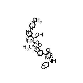 CC(C(=O)NC(CO)c1cc(N2CCN(C)CC2)ncc1F)N1Cc2ccc(-c3nc(NC4CCOCC4)ncc3Cl)cc2C1=O